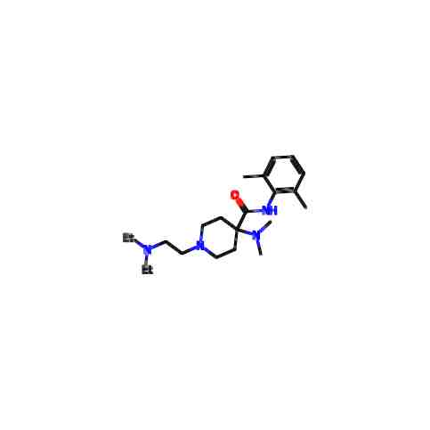 CCN(CC)CCN1CCC(C(=O)Nc2c(C)cccc2C)(N(C)C)CC1